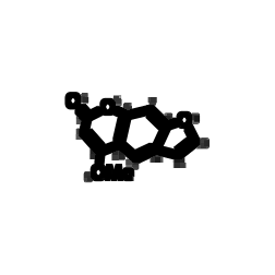 COc1cc(=O)oc2cc3occc3cc12